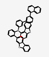 c1cc(-c2cccc(N(c3ccccc3-c3ccc4c(c3)oc3ccccc34)c3cccc4sc5ccccc5c34)c2)cc(-c2cccc3ccccc23)c1